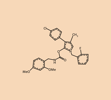 COc1ccc(CNC(=O)Oc2c(-c3ccc(Cl)cc3)c(C)cn2Cc2ccccc2F)c(OC)c1